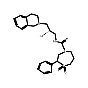 O=C(NC[C@H](O)CN1CCc2ccccc2C1)N1CCCS(=O)(=O)C(c2ccccc2)C1